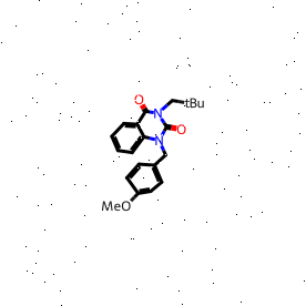 COc1ccc(Cn2c(=O)n(CC(C)(C)C)c(=O)c3ccccc32)cc1